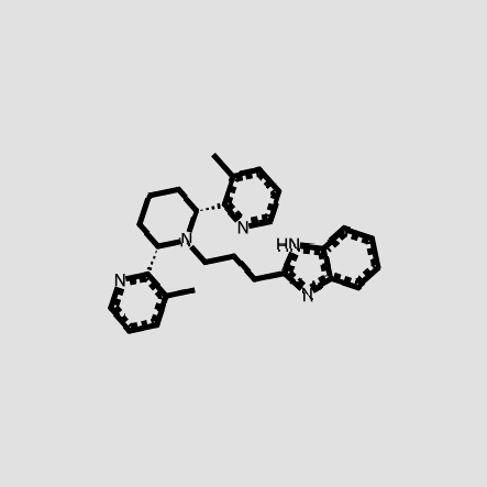 Cc1cccnc1[C@H]1CCC[C@@H](c2ncccc2C)N1CCCc1nc2ccccc2[nH]1